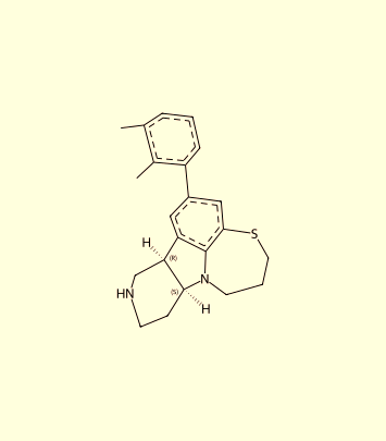 Cc1cccc(-c2cc3c4c(c2)[C@@H]2CNCC[C@@H]2N4CCCS3)c1C